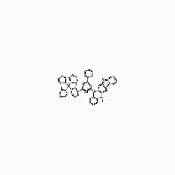 CC1(C)c2ccccc2N(c2nc(-c3ccccc3)nc(-c3cccc4c3-c3ccccc3C43c4ccccc4-c4ccccc43)n2)c2cc3sc4ccccc4c3cc21